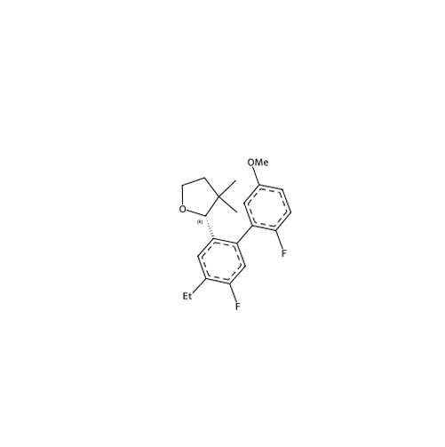 CCc1cc([C@@H]2OCCC2(C)C)c(-c2cc(OC)ccc2F)cc1F